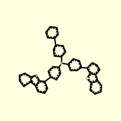 c1ccc(-c2ccc(N(c3ccc(-c4cccc5c4sc4ccccc45)cc3)c3ccc(-c4cccc5c4sc4ccccc45)cc3)cc2)cc1